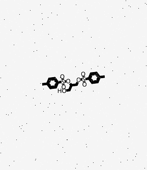 Cc1ccc(S(=O)(=O)OCC(CO)OS(=O)(=O)c2ccc(C)cc2)cc1